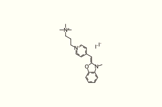 CN1/C(=C/c2cc[n+](CCC[N+](C)(C)C)cc2)Oc2ccccc21.[I-].[I-]